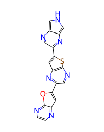 c1cnc2oc(-c3cnc4sc(-c5cnc6c[nH]cc6n5)cc4n3)cc2n1